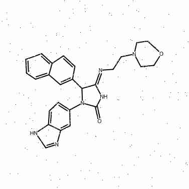 O=C1NC(=NCCN2CCOCC2)C(c2ccc3ccccc3c2)N1c1ccc2[nH]cnc2c1